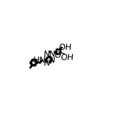 Cc1cccc(CNc2ncnc3c2ncn3[C@H]2CC(O)[C@@H](CO)O2)c1